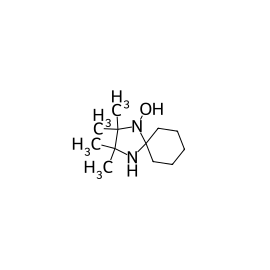 CC1(C)NC2(CCCCC2)N(O)C1(C)C